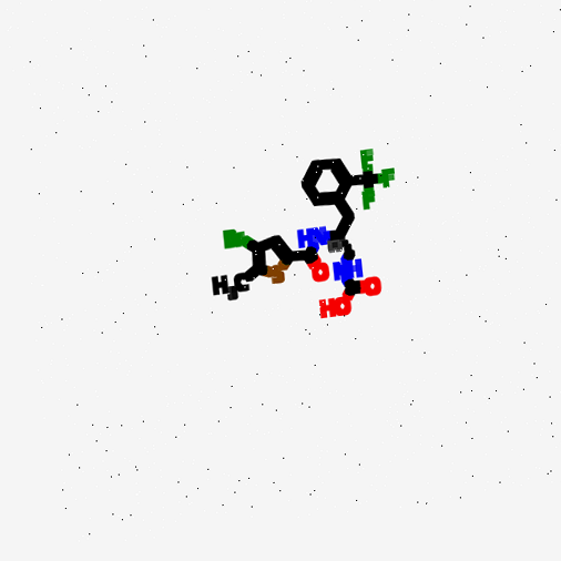 Cc1sc(C(=O)N[C@@H](CNC(=O)O)Cc2ccccc2C(F)(F)F)cc1Br